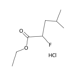 CCOC(=O)C(F)CC(C)C.Cl